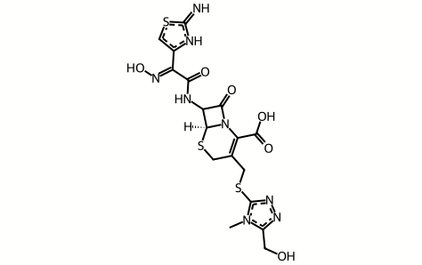 Cn1c(CO)nnc1SCC1=C(C(=O)O)N2C(=O)C(NC(=O)C(=NO)c3csc(=N)[nH]3)[C@@H]2SC1